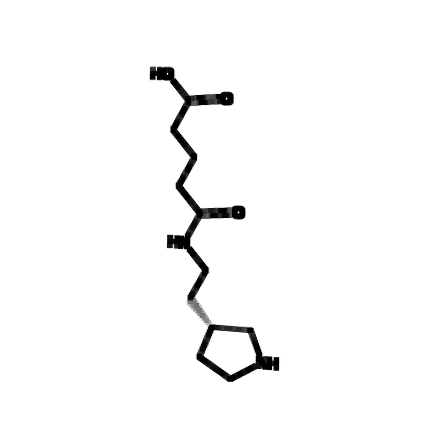 O=C(O)CCCC(=O)NCC[C@H]1CCNC1